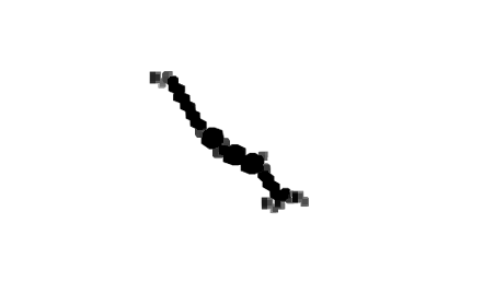 CCCCCCCCCCCCOc1ccc(OC(=O)c2ccc(-c3ccc(OCCCCCC(C)CC)c(F)c3)cc2)cc1